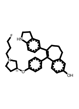 Oc1ccc2c(c1)CCCC(c1ccc3c(c1)CCN3)=C2c1ccc(O[C@H]2CCN(CCCF)C2)cc1